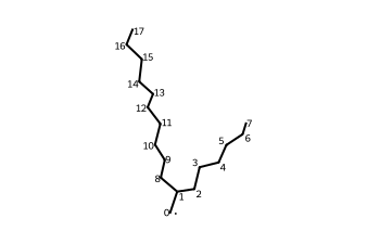 [CH2]C(CCCCCC)CCCCCCCCCC